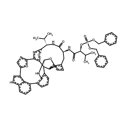 CC(C)[C@H](OP(=O)(OCc1ccccc1)OCc1ccccc1)C(=O)N[C@H]1Cc2ccc3c(c2)[C@]24c5cccc(c5NC2O3)-c2cccc3[nH]cc(c23)-c2cnc(o2)-c2nc(oc24)[C@H](C(C)C)NC1=O